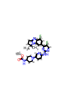 CC(C)(C)OC(=O)NC1CCN(c2ccc(Nc3ncc(F)c(-c4cc(F)c5nc6n(c5c4)C(C)(C)CC6)n3)nc2)CC1